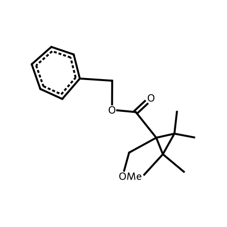 COCC1(C(=O)OCc2ccccc2)C(C)(C)C1(C)C